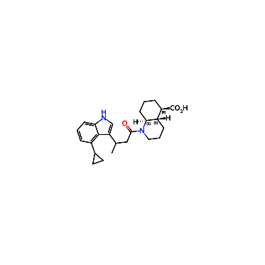 CC(CC(=O)N1CCC[C@H]2[C@H](C(=O)O)CCC[C@@H]21)c1c[nH]c2cccc(C3CC3)c12